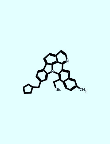 Cc1ccc2c(CC(C)(C)C)c3c(cc2c1)c1nccc2ccc4c5ccc(CC6CCCC6)cc5n3c4c21